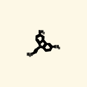 CC#Cn1c2ccc(C)cc2c2cc(N)ccc21